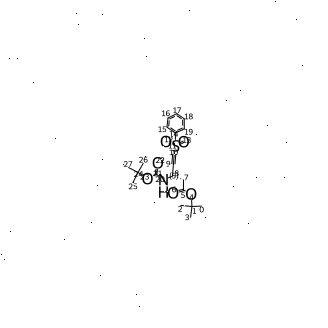 CC(C)(C)OC(=O)C[C@@H](C#CS(=O)(=O)c1ccccc1)NC(=O)OC(C)(C)C